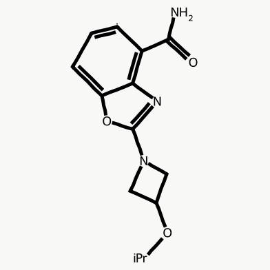 CC(C)OC1CN(c2nc3c(C(N)=O)[c]ccc3o2)C1